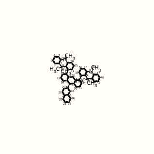 CN1c2ccccc2C(C)(C)c2c(-c3cccc4c(-c5ccc6ccccc6c5)c5cccc(-c6cccc7c6C(C)(C)c6ccccc6N7C)c5cc34)cccc21